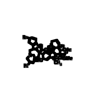 CCC1=C[C@H]2CN(C1)Cc1c([nH]c3ccc(Br)cc13)[C@@](C(=O)OC)(C1C=C3C(=CC1OC)N(C)[C@H]1[C@@](O)(C(=O)OC)[C@H](OC(C)=O)[C@]4(CC)C=CCN5CC[C@]31[C@@H]54)C2